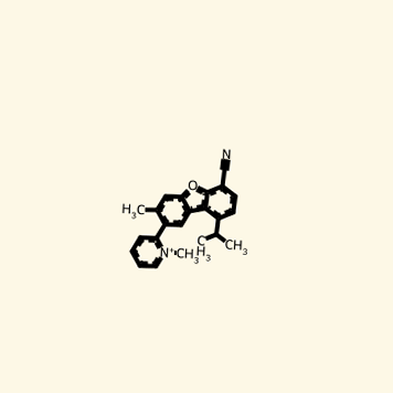 Cc1cc2oc3c(C#N)ccc(C(C)C)c3c2cc1-c1cccc[n+]1C